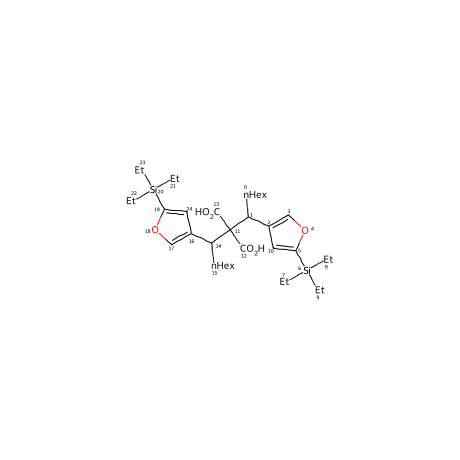 CCCCCCC(c1coc([Si](CC)(CC)CC)c1)C(C(=O)O)(C(=O)O)C(CCCCCC)c1coc([Si](CC)(CC)CC)c1